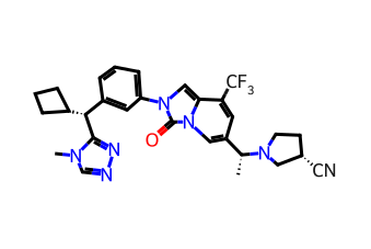 C[C@H](c1cc(C(F)(F)F)c2cn(-c3cccc([C@H](c4nncn4C)C4CCC4)c3)c(=O)n2c1)N1CC[C@H](C#N)C1